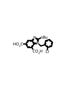 CCCCc1nc2cc(C(=O)O)cc(C(=O)O)c2n1Cc1ccccc1Cl